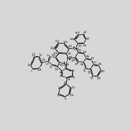 c1ccc(-c2ccc3c(c2)c2cc(-c4ccccc4)cc4c5cccc6c5-n(c5cc7cc8ccccc8cc7cc5n6-c5ccccc5)n3c42)cc1